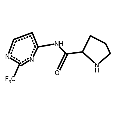 O=C(Nc1ccnc(C(F)(F)F)n1)C1CCCN1